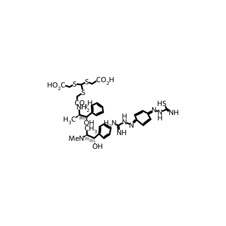 CN[C@@H](C)[C@@H](O)c1ccccc1.C[C@@H](N)[C@@H](O)c1ccccc1.N=C(N)NN=C1C=CC(=NNC(=N)S)C=C1.O=C(O)CSC(SCC(=O)O)SCC(=O)O